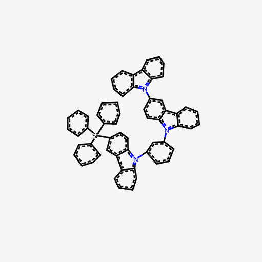 c1ccc([Si](c2ccccc2)(c2ccccc2)c2ccc3c(c2)c2ccccc2n3-c2cccc(-n3c4ccccc4c4cc(-n5c6ccccc6c6ccccc65)ccc43)c2)cc1